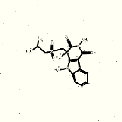 CC(C)CS(=O)(=O)CC1(C)C(=O)N(C)C(=O)c2c1n(C)c1ccccc21